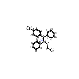 CCc1ccc(/C(=C(/CCCl)c2ccccc2)c2ccccc2)cc1